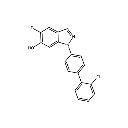 Oc1cc2c(cnn2-c2ccc(-c3ccccc3Cl)cc2)cc1F